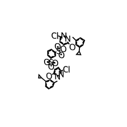 Cc1cccc(C2CC2)c1Oc1nnc(Cl)cc1OS(=O)(=O)c1cccc(S(=O)(=O)Oc2cc(Cl)nnc2Oc2c(C)cccc2C2CC2)c1